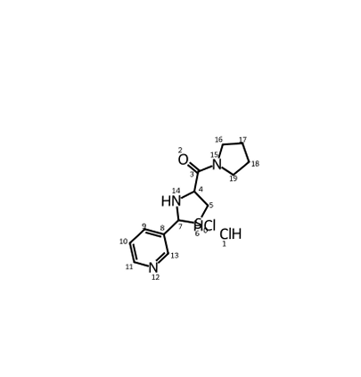 Cl.Cl.O=C(C1CSC(c2cccnc2)N1)N1CCCC1